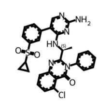 C[C@H](Nc1nc(N)ncc1-c1cccc(S(=O)(=O)C2CC2)c1)c1nc2cccc(Cl)c2c(=O)n1-c1ccccc1